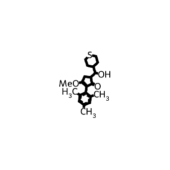 COC1=C(c2c(C)cc(C)cc2C)C(=O)C(C(O)C2CCSCC2)C1